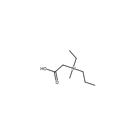 CCC[N+](C)(CC)CC(=O)O